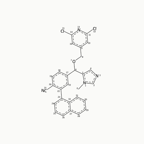 Cn1cncc1C(OCc1cc(Cl)nc(Cl)c1)c1ccc(C#N)c(-c2cccc3ccccc23)c1